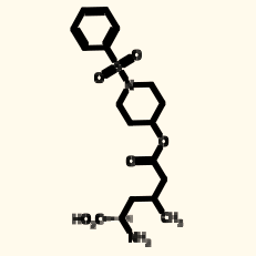 CC(CC(=O)OC1CCN(S(=O)(=O)c2ccccc2)CC1)C[C@H](N)C(=O)O